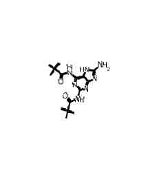 CC(C)(C)C(=O)Nc1nc(NC(=O)C(C)(C)C)c2[nH]c(N)nc2n1